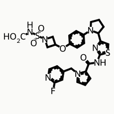 O=C(O)NS(=O)(=O)N1CC(Oc2ccc(N3CCCC3c3csc(NC(=O)c4cccn4Cc4ccnc(F)c4)n3)cc2)C1